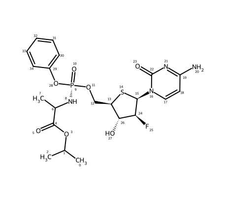 CC(C)OC(=O)C(C)N[P@](=O)(OC[C@H]1S[C@@H](n2ccc(N)nc2=O)[C@@H](F)[C@@H]1O)Oc1ccccc1